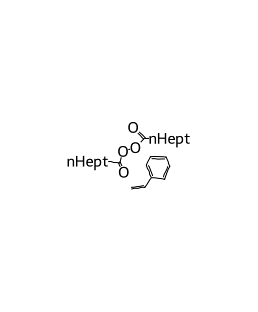 C=Cc1ccccc1.CCCCCCCC(=O)OOC(=O)CCCCCCC